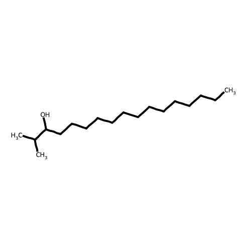 CCCCCCCCCCCCCCC(O)[C](C)C